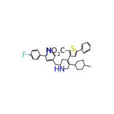 CC1CCC(C2=C(c3cc(-c4ccccc4)sc3C(=O)O)CC(Cc3ccnc(-c4ccc(F)cc4)c3)NC2)CC1